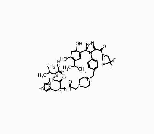 CC(C)c1cc(-c2nnc(C(=O)NCC(F)(F)F)n2-c2ccc(CN3CCN(CC(=O)N[C@@H](Cc4c[nH]cn4)C(=O)N[C@H](C(=O)O)C(C)C)CC3)cc2)c(O)cc1O